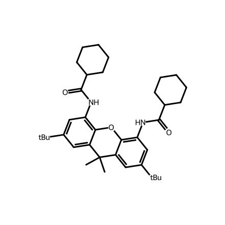 CC(C)(C)c1cc(NC(=O)C2CCCCC2)c2c(c1)C(C)(C)c1cc(C(C)(C)C)cc(NC(=O)C3CCCCC3)c1O2